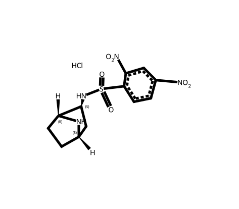 Cl.O=[N+]([O-])c1ccc(S(=O)(=O)N[C@H]2C[C@@H]3CC[C@H]2N3)c([N+](=O)[O-])c1